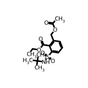 CCOC(=O)c1c(COC(C)=O)cccc1S(=O)(=O)NC(C)(C)C